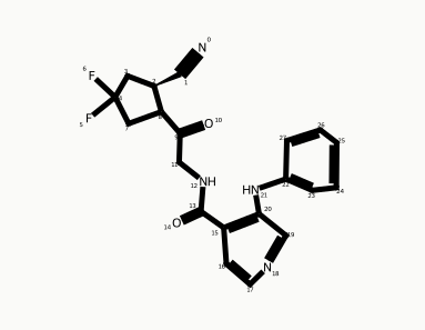 N#C[C@@H]1CC(F)(F)CC1C(=O)CNC(=O)c1ccncc1Nc1ccccc1